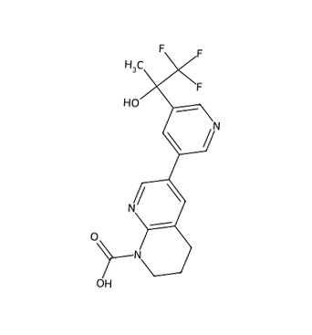 CC(O)(c1cncc(-c2cnc3c(c2)CCCN3C(=O)O)c1)C(F)(F)F